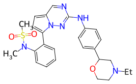 CCN1CCOC(c2ccc(Nc3ncc4ccc(-c5ccccc5N(C)S(C)(=O)=O)n4n3)cc2)C1